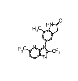 Cc1cc(-n2c(C(F)(F)F)nc3ccc(C(F)(F)F)nc32)cc2c1NC(=O)C2